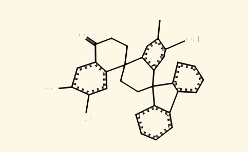 O=C1CCC2(CCC3(c4ccccc4-c4ccccc43)c3cc(O)c(O)cc32)c2cc(O)c(O)cc21